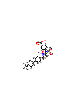 COc1cc(C(=O)O)ccc1N(c1csc(-c2ccc(C3CCC(C(C)(C)C)CC3)cc2)n1)[SH](=O)=O